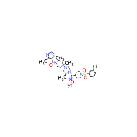 CCO/N=C(\C1CCN(S(=O)(=O)c2cccc(Cl)c2)CC1)N1CCN(C2(C)CCN(C(=O)c3c(C)ncnc3C)CC2)CC1C